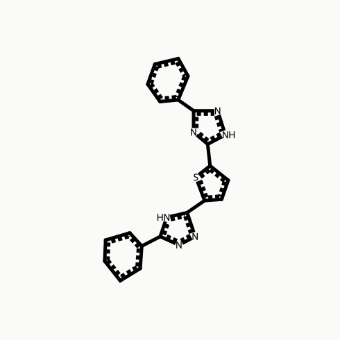 c1ccc(-c2n[nH]c(-c3ccc(-c4nnc(-c5ccccc5)[nH]4)s3)n2)cc1